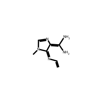 C=C/N=C1\C(=C(N)N)N=CN1C